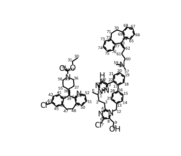 CCCCc1nc(Cl)c(CO)n1Cc1ccc(-c2ccccc2-c2nnn[nH]2)cc1.CCOC(=O)N1CCC(=C2c3ccc(Cl)cc3CCc3cccnc32)CC1.CN(C)CCC=C1c2ccccc2CCc2ccccc21